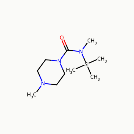 CN1CCN(C(=O)N(C)[Si](C)(C)C)CC1